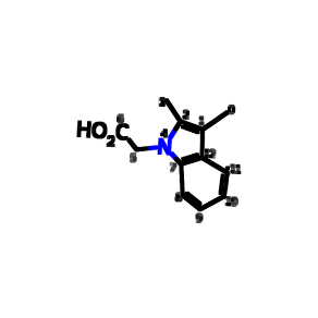 Cc1c(C)n(CC(=O)O)c2ccc[c]c12